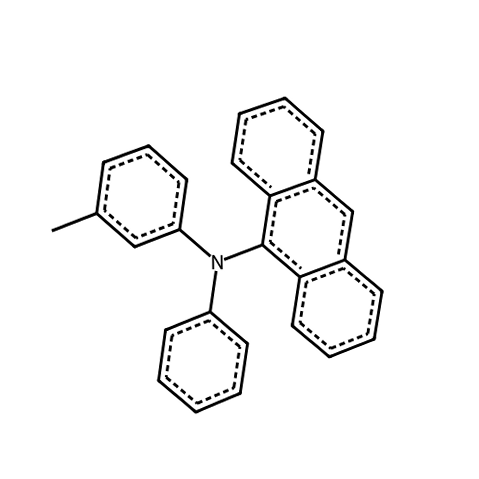 Cc1cccc(N(c2ccccc2)c2c3ccccc3cc3ccccc23)c1